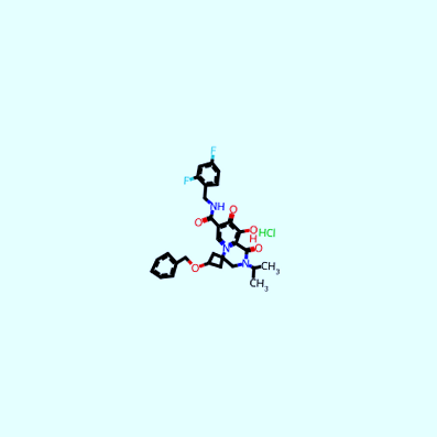 CC(C)N1CC2(CC(OCc3ccccc3)C2)n2cc(C(=O)NCc3ccc(F)cc3F)c(=O)c(O)c2C1=O.Cl